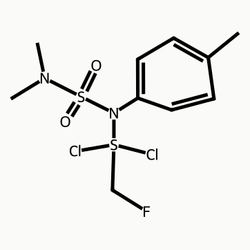 Cc1ccc(N(S(Cl)(Cl)CF)S(=O)(=O)N(C)C)cc1